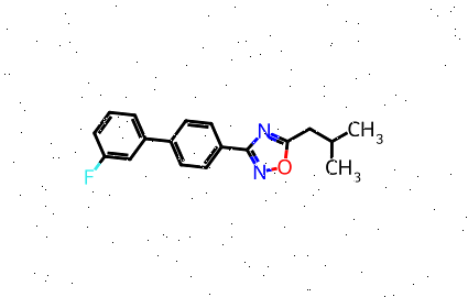 CC(C)Cc1nc(-c2ccc(-c3cccc(F)c3)cc2)no1